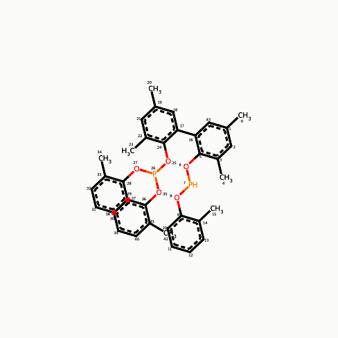 Cc1cc(C)c(OPOc2ccccc2C)c(-c2cc(C)cc(C)c2OP(Oc2ccccc2C)Oc2ccccc2C)c1